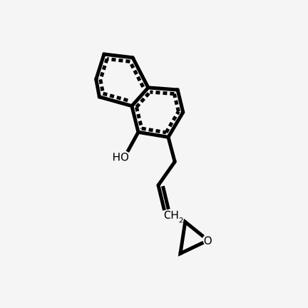 C1CO1.C=CCc1ccc2ccccc2c1O